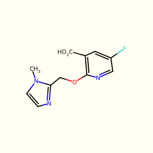 Cn1ccnc1COc1ncc(F)cc1C(=O)O